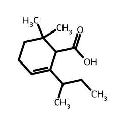 CCC(C)C1=CCCC(C)(C)C1C(=O)O